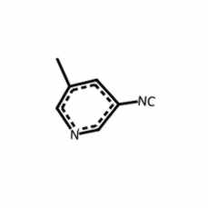 [C-]#[N+]c1cncc(C)c1